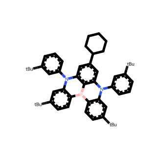 CC(C)(C)c1cccc(N2c3cc(C(C)(C)C)ccc3B3c4ccc(C(C)(C)C)cc4N(c4cccc(C(C)(C)C)c4)c4cc(C5CCCCC5)cc2c43)c1